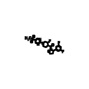 CS(=O)(=O)c1cnc(N2CC[C@H](C(=O)N3OCCC3c3cc(F)cc(F)c3)[C@H](F)C2)nc1